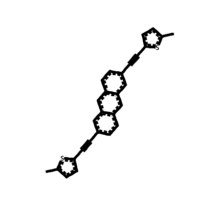 Cc1ccc(C#Cc2ccc3cc4cc(C#Cc5ccc(C)s5)ccc4cc3c2)s1